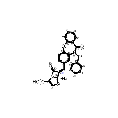 O=C(O)C1=CS[C@@H]2/C(=C/c3ccc4c(c3)N(Cc3ccccc3)C(=O)c3ccccc3O4)C(=O)N12